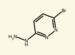 NNc1ccc(Br)nn1